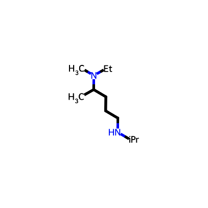 CCN(C)C(C)CCCNC(C)C